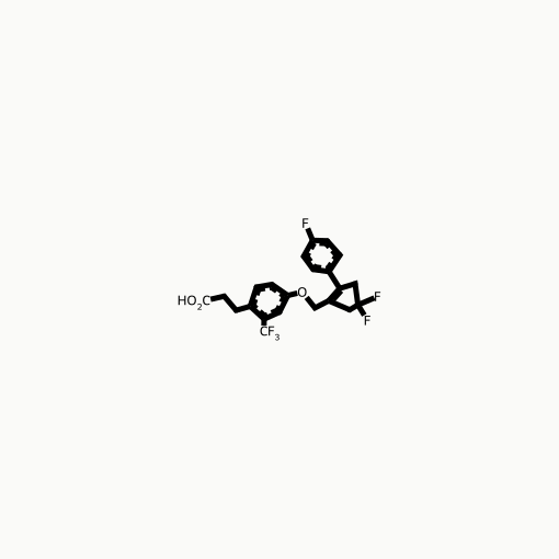 O=C(O)CCc1ccc(OCC2=C(c3ccc(F)cc3)CC(F)(F)C2)cc1C(F)(F)F